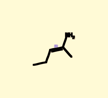 CC/C=C(\C)N